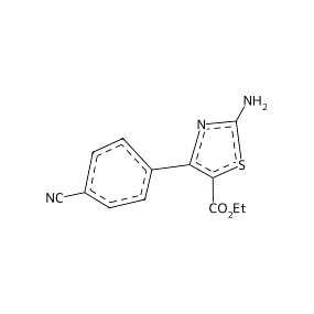 CCOC(=O)c1sc(N)nc1-c1ccc(C#N)cc1